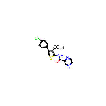 O=C(Nc1scc(-c2ccc(Cl)cc2)c1C(=O)O)c1cnccn1